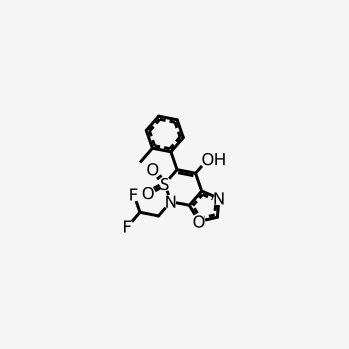 Cc1ccccc1C1=C(O)c2ncoc2N(CC(F)F)S1(=O)=O